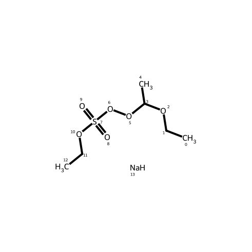 CCOC(C)OOS(=O)(=O)OCC.[NaH]